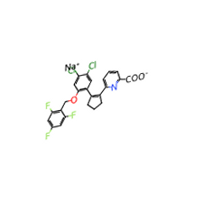 O=C([O-])c1cccc(C2=C(c3cc(Cl)c(Cl)cc3OCc3c(F)cc(F)cc3F)CCC2)n1.[Na+]